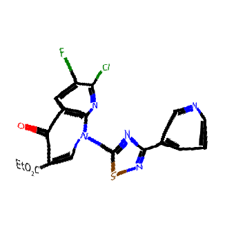 CCOC(=O)c1cn(-c2nc(-c3cccnc3)ns2)c2nc(Cl)c(F)cc2c1=O